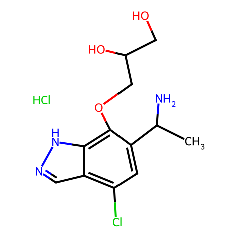 CC(N)c1cc(Cl)c2cn[nH]c2c1OCC(O)CO.Cl